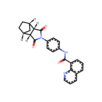 O=C(Nc1ccc(N2C(=O)[C@@H]3[C@@H]4CC[C@@H](C4)[C@@H]3C2=O)cc1)c1cccc2cccnc12